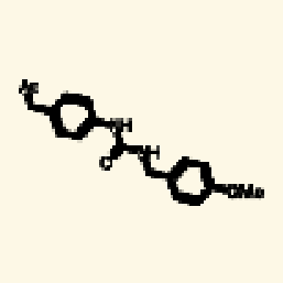 COc1ccc(CNC(=O)Nc2ccc(CC(C)=O)cc2)cc1